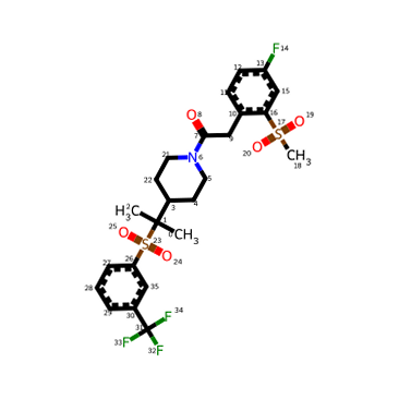 CC(C)(C1CCN(C(=O)Cc2ccc(F)cc2S(C)(=O)=O)CC1)S(=O)(=O)c1cccc(C(F)(F)F)c1